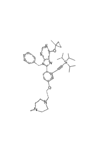 CC(C)[Si](C#Cc1cc(OCCN2CCN(C)CC2)ccc1-c1nc2c(OC3(C)CC3)ncnc2n1Cc1ccccc1)(C(C)C)C(C)C